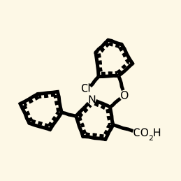 O=C(O)c1ccc(-c2ccccc2)nc1Oc1ccccc1Cl